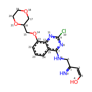 N=C(/C=C\O)CNc1nc(Cl)nc2c(OCC3COCCO3)cccc12